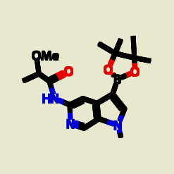 COC(C)C(=O)Nc1cc2c(B3OC(C)(C)C(C)(C)O3)cn(C)c2cn1